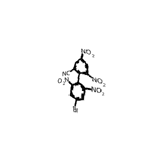 N#Cc1cc([N+](=O)[O-])cc([N+](=O)[O-])c1-c1c([N+](=O)[O-])[c]c(Br)cc1[N+](=O)[O-]